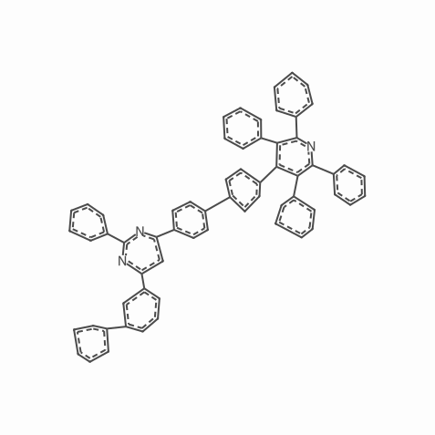 c1ccc(-c2cccc(-c3cc(-c4ccc(-c5ccc(-c6c(-c7ccccc7)c(-c7ccccc7)nc(-c7ccccc7)c6-c6ccccc6)cc5)cc4)nc(-c4ccccc4)n3)c2)cc1